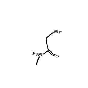 CBC(=O)CBr